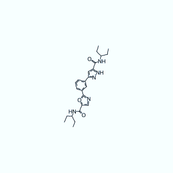 CCC(CC)NC(=O)c1cc(-c2cccc(-c3ncc(C(=O)NC(CC)CC)o3)c2)n[nH]1